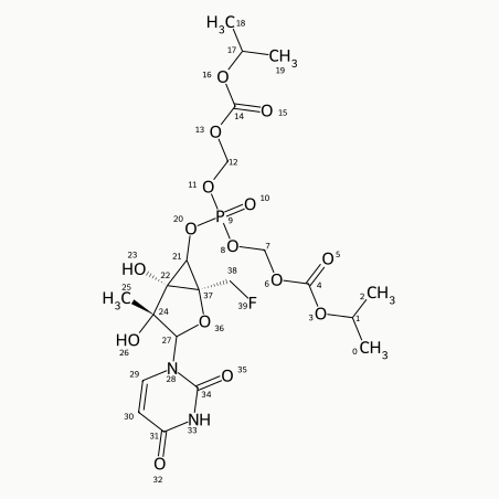 CC(C)OC(=O)OCOP(=O)(OCOC(=O)OC(C)C)OC1[C@]2(O)[C@@](C)(O)C(n3ccc(=O)[nH]c3=O)O[C@]12CF